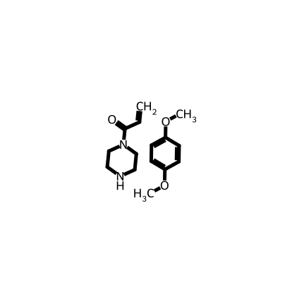 C=CC(=O)N1CCNCC1.COc1ccc(OC)cc1